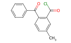 Cc1ccc(C(=O)c2ccccc2)c(C(=O)Cl)c1